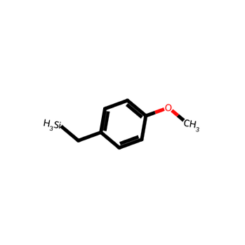 COc1ccc(C[SiH3])cc1